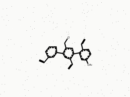 C=Cc1cccc(-c2cc(C=C)c(-c3cc(OC(C)=O)ccc3C=C)cc2CCl)c1